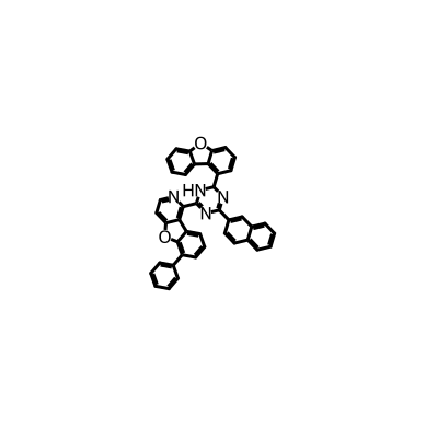 c1ccc(-c2cccc3c2oc2ccnc(C4=NC(c5ccc6ccccc6c5)=NC(c5cccc6oc7ccccc7c56)N4)c23)cc1